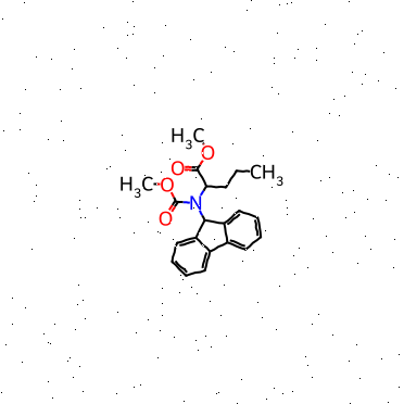 CCCC(C(=O)OC)N(C(=O)OC)C1c2ccccc2-c2ccccc21